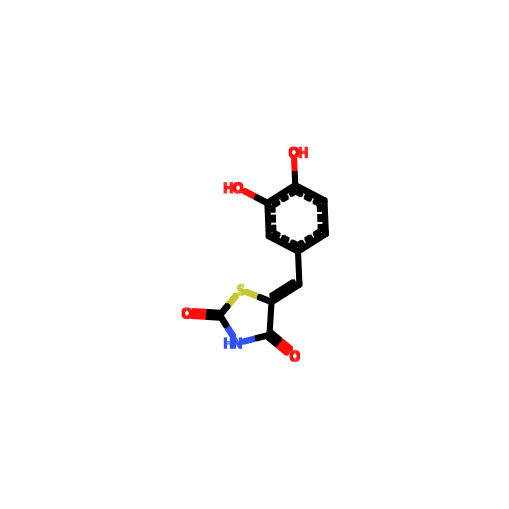 O=C1NC(=O)C(=Cc2ccc(O)c(O)c2)S1